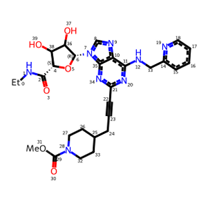 CCNC(=O)[C@H]1O[C@@H](n2cnc3c(NCc4ccccn4)nc(C#CCC4CCN(C(=O)OC)CC4)nc32)C(O)C1O